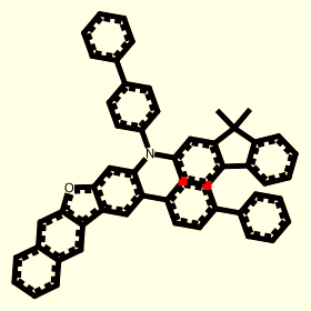 CC1(C)c2ccccc2-c2ccc(N(c3ccc(-c4ccccc4)cc3)c3cc4oc5cc6ccccc6cc5c4cc3-c3ccc(-c4ccccc4)cc3)cc21